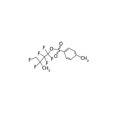 Cc1ccc(S(=O)(=O)OC(F)(F)C(F)(F)C(C)(F)CF)cc1